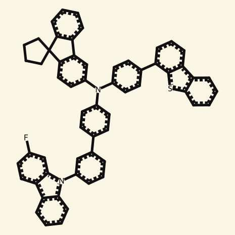 Fc1ccc2c3ccccc3n(-c3cccc(-c4ccc(N(c5ccc(-c6cccc7c6sc6ccccc67)cc5)c5ccc6c(c5)-c5ccccc5C65CCCC5)cc4)c3)c2c1